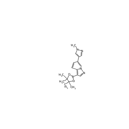 Cn1cc(-c2ccc3c(B4OC(C)(C)C(C)(C)O4)cnn3c2)cn1